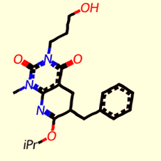 CC(C)OC1=Nc2c(c(=O)n(CCCO)c(=O)n2C)CC1Cc1ccccc1